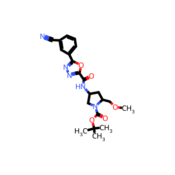 COCC1CC(NC(=O)c2nnc(-c3cccc(C#N)c3)o2)CN1C(=O)OC(C)(C)C